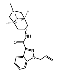 C=CCn1nc(C(=O)N[C@@H]2C[C@@H]3CN(C)C[C@H](C2)N3C)c2ccccc21